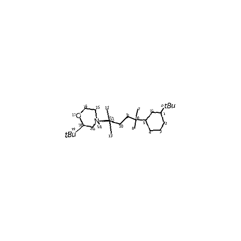 CC(C)(C)C1CCCC(C(C)(C)CCC(C)(C)N2CCOC(C(C)(C)C)C2)C1